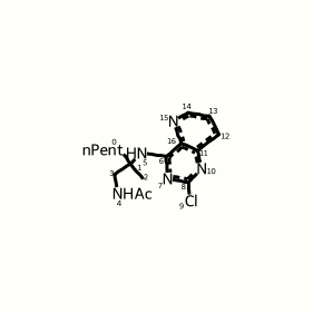 CCCCCC(C)(CNC(C)=O)Nc1nc(Cl)nc2cccnc12